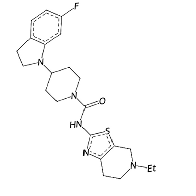 CCN1CCc2nc(NC(=O)N3CCC(N4CCc5ccc(F)cc54)CC3)sc2C1